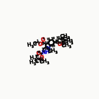 CCOC(=O)c1c(CNC(=O)OC(C)(C)C)n(C)c2cc(B3CC(C)(C)C(C)(C)O3)ccc12